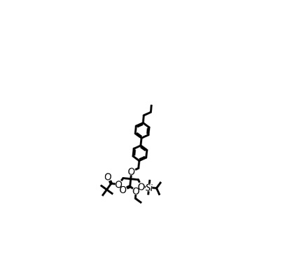 CCCc1ccc(-c2ccc(COC(COC(=O)C(C)(C)C)(CO[Si](C)(C)C(C)C)C(=O)OCC)cc2)cc1